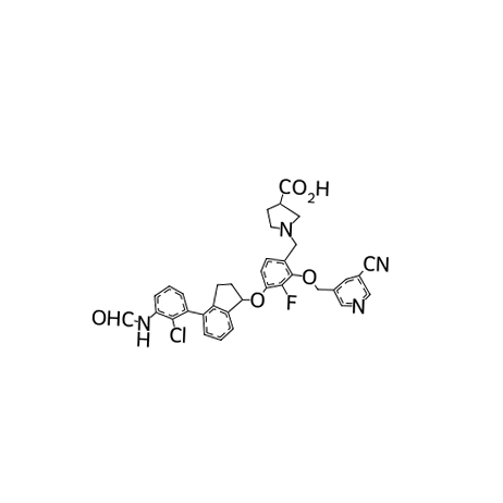 N#Cc1cncc(COc2c(CN3CCC(C(=O)O)C3)ccc(OC3CCc4c(-c5cccc(NC=O)c5Cl)cccc43)c2F)c1